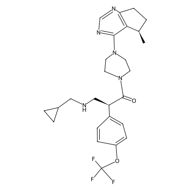 C[C@@H]1CCc2ncnc(N3CCN(C(=O)[C@H](CNCC4CC4)c4ccc(OC(F)(F)F)cc4)CC3)c21